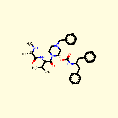 CN[C@@H](C)C(=O)N[C@H](C(=O)N1CCN(Cc2ccccc2)C[C@@H]1OC(=O)NC(Cc1ccccc1)Cc1ccccc1)C(C)C